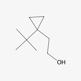 CC(C)(C)C1(CCO)CC1